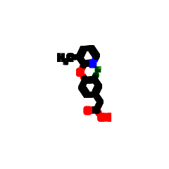 Cc1cccnc1Oc1ccc(CC(=O)O)cc1F